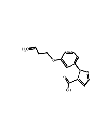 C=CCCOc1cccc(-n2nccc2C(=O)O)c1